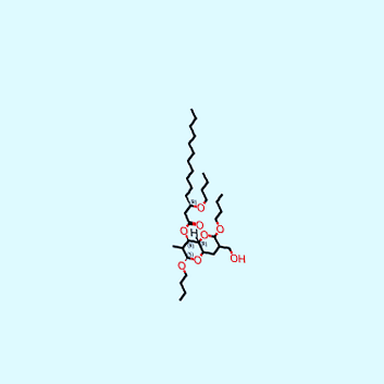 CCCCCCCCCCC[C@H](CC(=O)O[C@@H]1C(C)[C@@H](OCCCC)OC2CC(CO)C(OCCCC)O[C@H]21)OCCCC